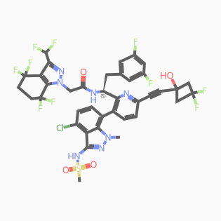 Cn1nc(NS(C)(=O)=O)c2c(Cl)ccc(-c3ccc(C#CC4(O)CC(F)(F)C4)nc3[C@H](Cc3cc(F)cc(F)c3)NC(=O)Cn3nc(C(F)F)c4c3C(F)(F)CCC4(F)F)c21